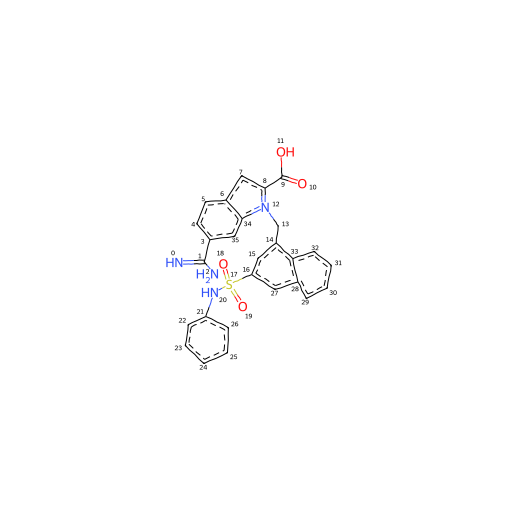 N=C(N)c1ccc2cc(C(=O)O)n(Cc3cc(S(=O)(=O)Nc4ccccc4)cc4ccccc34)c2c1